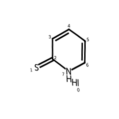 I.S=c1cccc[nH]1